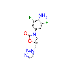 Nc1c(F)cc(N2C[C@H](Cn3ccnn3)OC2=O)cc1F